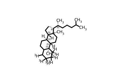 [3H]C1C2CC[C@H]3[C@@H]4CC[C@H]([C@H](C)CCCC(C)C)[C@@]4(C)CC[C@@H]3[C@@]2(C)C([3H])([3H])C([3H])([3H])C1([3H])[3H]